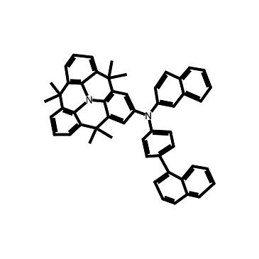 CC1(C)c2cccc3c2N2c4c1cccc4C(C)(C)c1cc(N(c4ccc(-c5cccc6ccccc56)cc4)c4ccc5ccccc5c4)cc(c12)C3(C)C